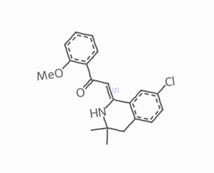 COc1ccccc1C(=O)/C=C1\NC(C)(C)Cc2ccc(Cl)cc21